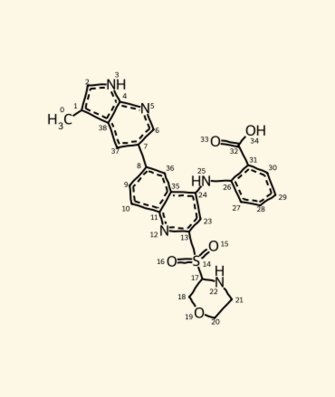 Cc1c[nH]c2ncc(-c3ccc4nc(S(=O)(=O)C5COCCN5)cc(Nc5ccccc5C(=O)O)c4c3)cc12